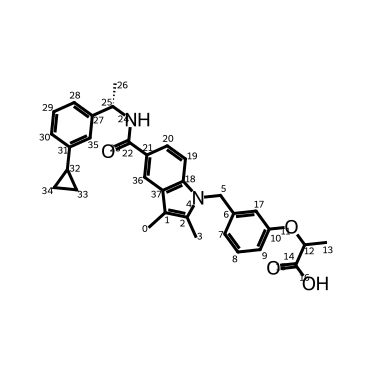 Cc1c(C)n(Cc2cccc(OC(C)C(=O)O)c2)c2ccc(C(=O)N[C@@H](C)c3cccc(C4CC4)c3)cc12